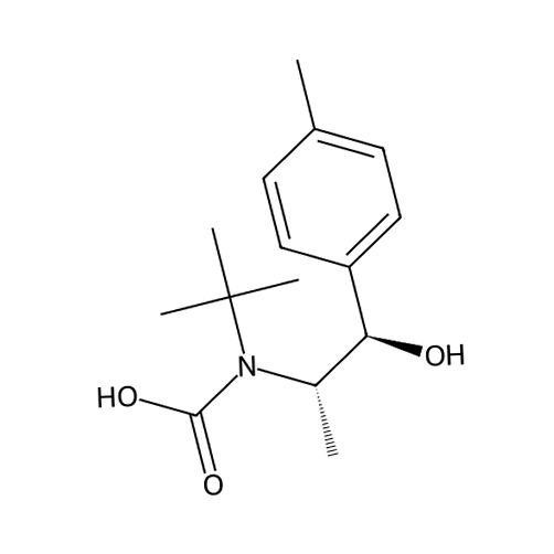 Cc1ccc([C@@H](O)[C@H](C)N(C(=O)O)C(C)(C)C)cc1